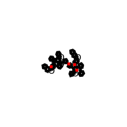 c1ccc(-n2c3ccccc3c3c2c2oc4ccccc4c2c2c4ccc(-c5cccc(-n6c7ccccc7c7c6c6oc8ccccc8c6c6c8ccccc8n(-c8ccc9oc%10ccc%11ccccc%11c%10c9c8)c67)c5)cc4n(-c4ccc5oc6cc7ccccc7cc6c5c4)c23)cc1